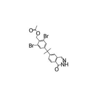 CC(=O)OCc1c(Br)cc(C(C)(C)c2ccc3c(=O)[nH]ncc3c2)cc1Br